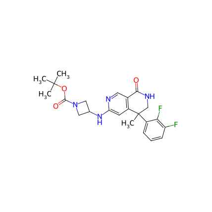 CC(C)(C)OC(=O)N1CC(Nc2cc3c(cn2)C(=O)NCC3(C)c2cccc(F)c2F)C1